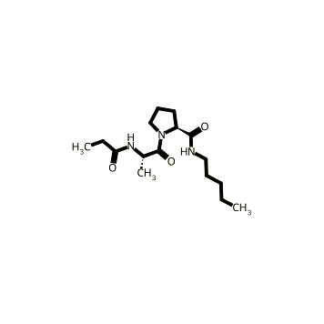 CCCCCNC(=O)[C@@H]1CCCN1C(=O)[C@H](C)NC(=O)CC